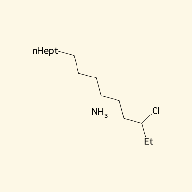 CCCCCCCCCCCCCC(Cl)CC.N